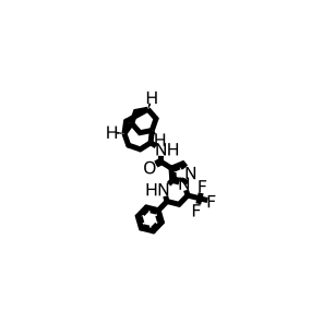 O=C(NC1CC[C@H]2C[C@H]3CC2C[C@H]1C3)c1cnn2c1NC(c1ccccc1)CC2C(F)(F)F